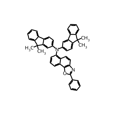 CC1(C)c2ccccc2-c2cc(N(c3ccc4c(c3)C(C)(C)c3ccccc3-4)c3cccc4c3ccc3nc(-c5ccccc5)oc34)ccc21